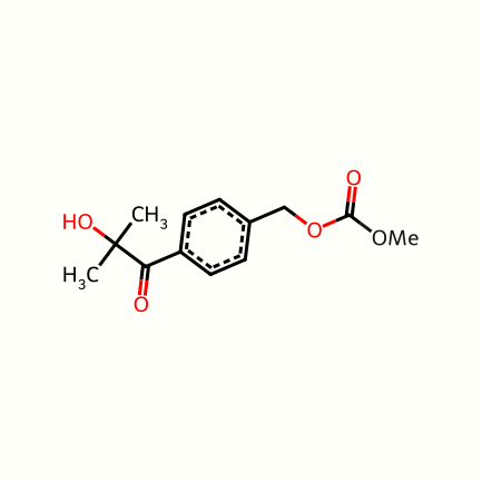 COC(=O)OCc1ccc(C(=O)C(C)(C)O)cc1